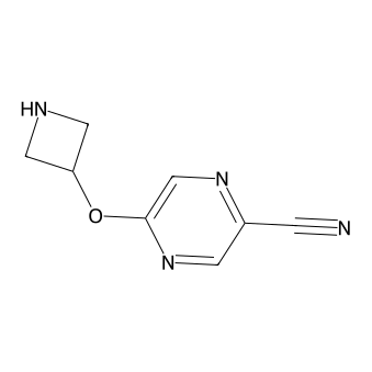 N#Cc1cnc(OC2CNC2)cn1